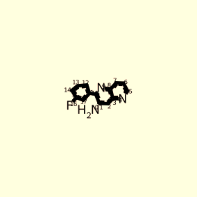 Nc1cc2ncccc2nc1-c1cccc(F)c1